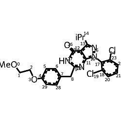 COCCOc1ccc(Cc2nc3c(c(C(C)C)nn3-c3c(Cl)cccc3Cl)c(=O)[nH]2)cc1